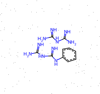 N=C(N)NC(=N)N.N=C(N)NC(=N)Nc1ccccc1